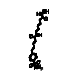 NS(=O)(=O)c1ccc(/C=C/C=C/C(=O)NCCCCCC(=O)NO)cc1